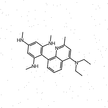 CCN(CC)c1cc(C)nc2c(-c3c(NC)cc(NC)cc3NC)cccc12